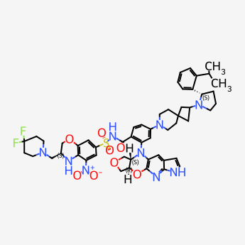 CC(C)c1ccccc1[C@@H]1CCCN1C1CC2(CCN(c3ccc(C(=O)NS(=O)(=O)c4cc5c(c([N+](=O)[O-])c4)N[C@@H](CN4CCC(F)(F)CC4)CO5)c(N4c5cc6cc[nH]c6nc5O[C@H]5COC[C@@H]54)c3)CC2)C1